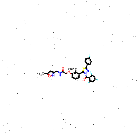 COc1c(OCC(=O)NCc2cc(C)on2)cccc1C1SC(c2ccc(F)cc2)=NN1C(=O)c1c(F)cc(F)cc1F